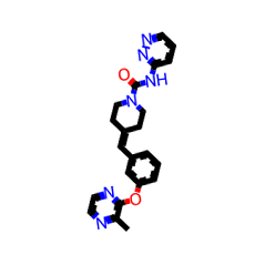 Cc1nccnc1Oc1cccc(C=C2CCN(C(=O)Nc3cccnn3)CC2)c1